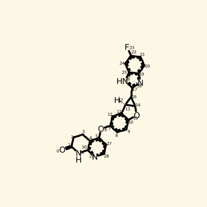 O=C1CCc2c(Oc3ccc4c(c3)[C@@H]3C(O4)C3c3nc4ccc(F)cc4[nH]3)ccnc2N1